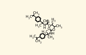 C=C(C)c1ccc(C(C)(C)NC(=O)OC(C)C(C)OC(=O)NC(C)(C)c2ccc(C(=C)C)cc2)cc1